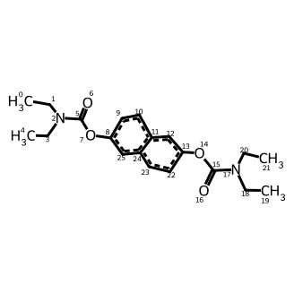 CCN(CC)C(=O)Oc1ccc2cc(OC(=O)N(CC)CC)ccc2c1